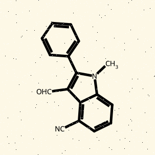 Cn1c(-c2ccccc2)c(C=O)c2c(C#N)cccc21